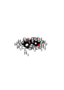 CC(=O)C(C1(C)C(C)(C)C2(C)C(C)=C(C)C1(C)C2(C)C)C1(C)C(C)(C)C2(C)C(C)=C(C)C1(C)C2(C)C